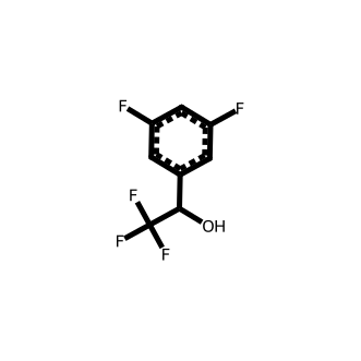 OC(c1cc(F)cc(F)c1)C(F)(F)F